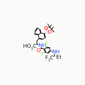 CC[C@@H](Nc1cc(F)c(C(=O)N[C@@H](Cc2ccc(B3OC(C)(C)C(C)(C)O3)c3ccccc23)C(=O)O)c(F)c1)C(F)(F)F